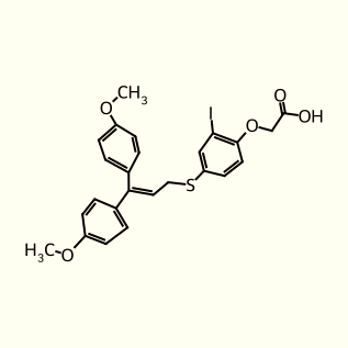 COc1ccc(C(=CCSc2ccc(OCC(=O)O)c(I)c2)c2ccc(OC)cc2)cc1